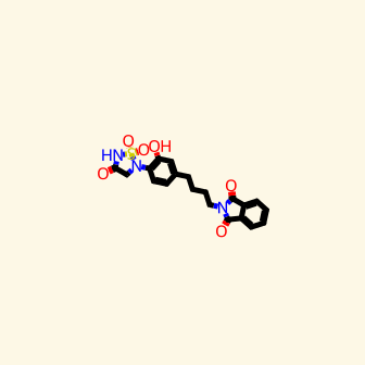 O=C1CN(c2ccc(CCCCN3C(=O)c4ccccc4C3=O)cc2O)S(=O)(=O)N1